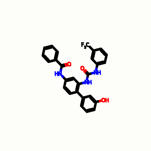 O=C(Nc1cccc(C(F)(F)F)c1)Nc1cc(NC(=O)c2ccccc2)ccc1-c1cccc(O)c1